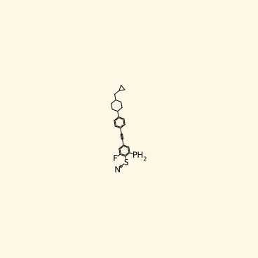 N#CSc1c(F)cc(C#Cc2ccc(C3CCC(CC4CC4)CC3)cc2)cc1P